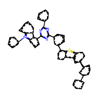 c1ccc(-c2cccc(-c3ccc4sc5c(-c6cccc(-c7nc(-c8ccccc8)nc(-c8cccc9c8c8ccccc8n9-c8ccccc8)n7)c6)cccc5c4c3)c2)cc1